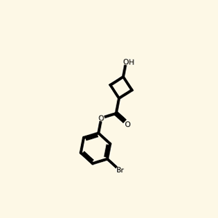 O=C(Oc1cccc(Br)c1)C1CC(O)C1